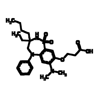 CCCCC1(CC)CN(c2ccccc2)c2cc(N(C)C)c(OCCC(=O)O)cc2S(=O)(=O)N1